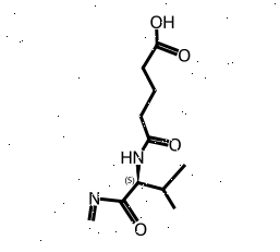 C=NC(=O)[C@@H](NC(=O)CCCC(=O)O)C(C)C